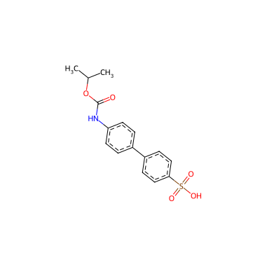 CC(C)OC(=O)Nc1ccc(-c2ccc(S(=O)(=O)O)cc2)cc1